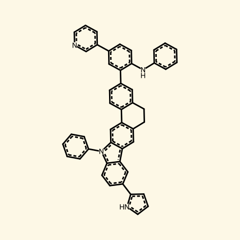 c1ccc(Nc2ccc(-c3cccnc3)cc2-c2ccc3c(c2)CCc2cc4c5cc(-c6ccc[nH]6)ccc5n(-c5ccccc5)c4cc2-3)cc1